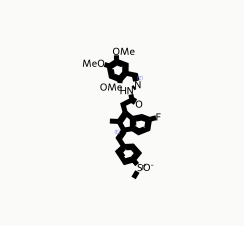 COc1cc(OC)c(OC)cc1/C=N\NC(=O)CC1=C(C)/C(=C/c2ccc([S+](C)[O-])cc2)c2ccc(F)cc21